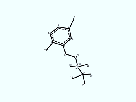 Cc1ccc(I)cc1CO[Si](C)(C)C(C)(C)C